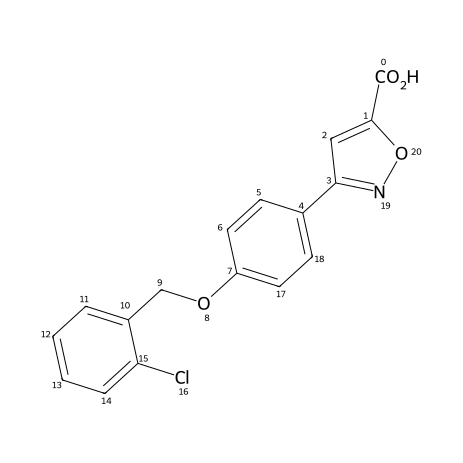 O=C(O)c1cc(-c2ccc(OCc3ccccc3Cl)cc2)no1